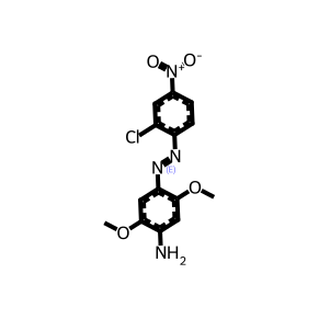 COc1cc(/N=N/c2ccc([N+](=O)[O-])cc2Cl)c(OC)cc1N